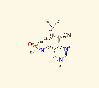 CN(C)/C=N\c1cc(N=S(C)(C)=O)cc(C2CC2)c1C#N